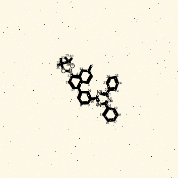 CC1C=Cc2c(-c3cccc(-c4nc(-c5ccccc5)nc(-c5ccccc5)n4)c3)ccc(B3OC(C)(C)C(C)(C)O3)c2C1